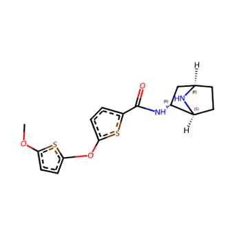 COc1ccc(Oc2ccc(C(=O)N[C@@H]3C[C@H]4CC[C@@H]3N4)s2)s1